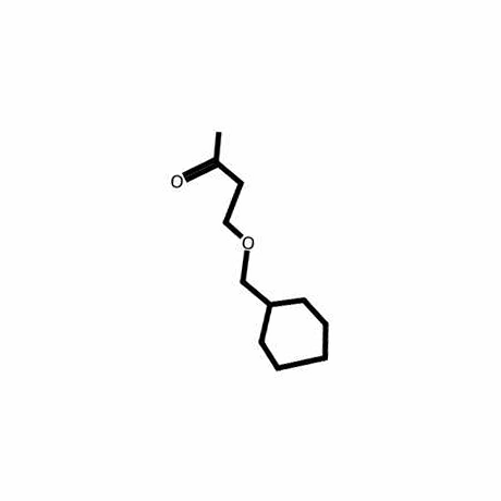 CC(=O)CCOCC1CCCCC1